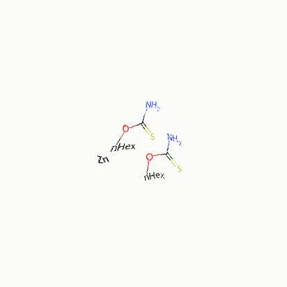 CCCCCCOC(N)=S.CCCCCCOC(N)=S.[Zn]